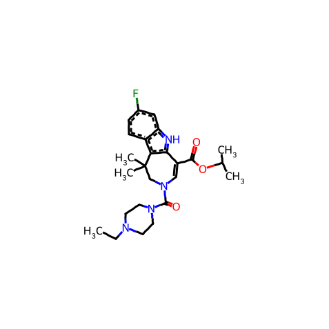 CCN1CCN(C(=O)N2C=C(C(=O)OC(C)C)c3[nH]c4cc(F)ccc4c3C(C)(C)C2)CC1